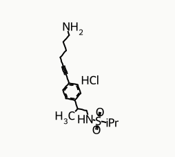 CC(CNS(=O)(=O)C(C)C)c1ccc(C#CCCCCN)cc1.Cl